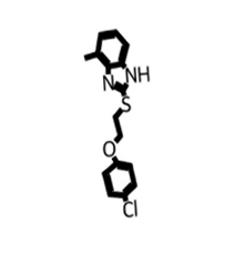 Cc1cccc2[nH]c(SCCOc3ccc(Cl)cc3)nc12